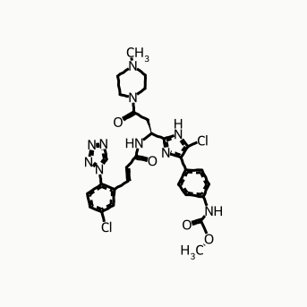 COC(=O)Nc1ccc(-c2nc([C@H](CC(=O)N3CCN(C)CC3)NC(=O)C=Cc3cc(Cl)ccc3-n3cnnn3)[nH]c2Cl)cc1